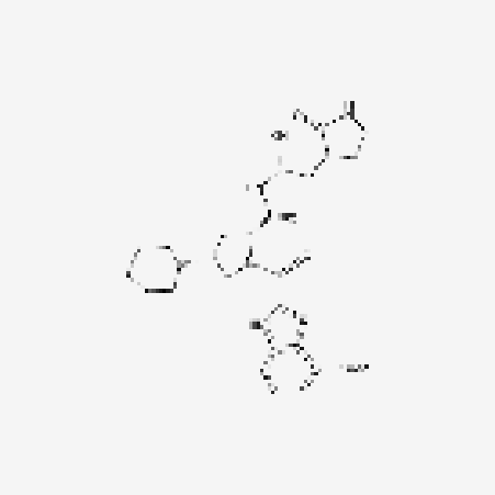 COc1cccc2[nH]c(C(=O)N3C[C@H](C4CCCCC4)C[C@H]3C(=O)N[C@H](C#N)CC3CCNC3=O)cc12